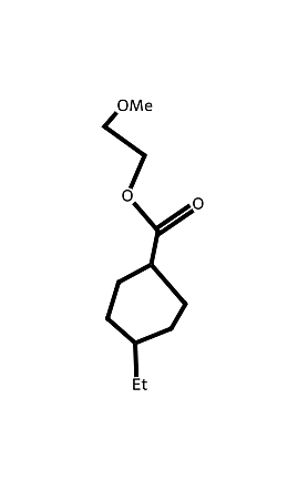 CCC1CCC(C(=O)OCCOC)CC1